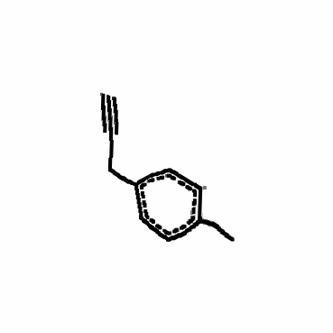 C#CCc1c[c]c(C)cc1